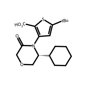 CC(C)(C)c1cc(N2C(=O)COC[C@H]2C2CCCCC2)c(C(=O)O)s1